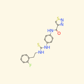 O=C(Nc1ccc(NC(=S)NCCc2ccccc2F)cc1)c1csnn1